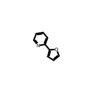 [c]1ccoc1-c1ccccn1